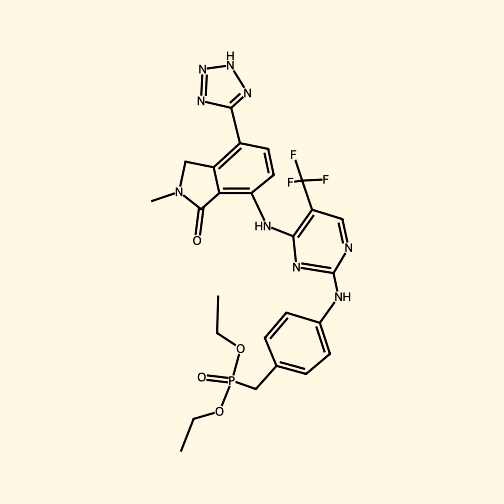 CCOP(=O)(Cc1ccc(Nc2ncc(C(F)(F)F)c(Nc3ccc(-c4nn[nH]n4)c4c3C(=O)N(C)C4)n2)cc1)OCC